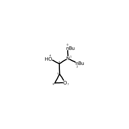 CCCCN(CCCC)C(O)C1CO1